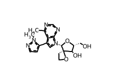 Cc1ncnc2c1c(-c1ccnn1C)cn2[C@@H]1O[C@H](CO)[C@@H](O)[C@]12CCO2